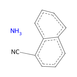 N.N#Cc1cccc2ccccc12